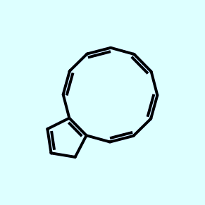 C1=CC2=C(\C=C/C=C\C=C/C=C\C=C/2)C1